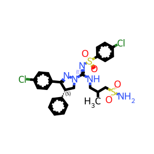 CC(CN/C(=N\S(=O)(=O)c1ccc(Cl)cc1)N1C[C@H](c2ccccc2)C(c2ccc(Cl)cc2)=N1)CS(N)(=O)=O